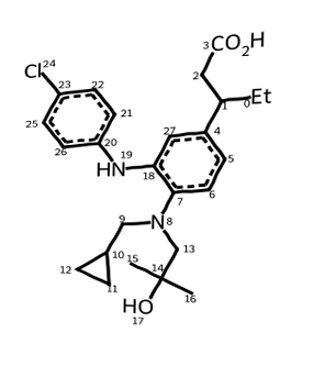 CCC(CC(=O)O)c1ccc(N(CC2CC2)CC(C)(C)O)c(Nc2ccc(Cl)cc2)c1